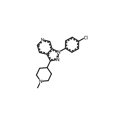 CN1CCC(c2nn(-c3ccc(Cl)cc3)c3cnccc23)CC1